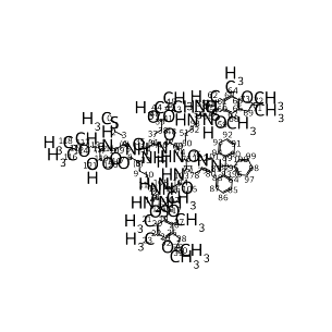 CSCC[C@H](NC(=O)[C@H](CCCNC(=N)NS(=O)(=O)c1c(C)c(C)c2c(c1C)CC(C)(C)O2)NC(=O)[C@H](CCC(=O)OC(C)(C)C)NC(=O)[C@H](CCCNC(=N)NS(=O)(=O)c1c(C)c(C)c2c(c1C)CC(C)(C)O2)NC(=O)[C@H](Cc1cn(C(c2ccccc2)(c2ccccc2)c2ccccc2)cn1)NC(=O)[C@H](C)N)C(=O)N[C@@H](COC(C)(C)C)C(=O)O